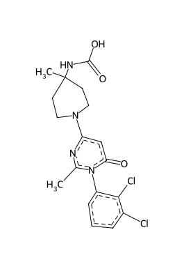 Cc1nc(N2CCC(C)(NC(=O)O)CC2)cc(=O)n1-c1cccc(Cl)c1Cl